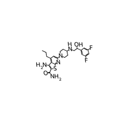 CCCc1cc(N2CCC(NCC(O)c3cc(F)cc(F)c3)CC2)nc2sc(C(N)=O)c(N)c12